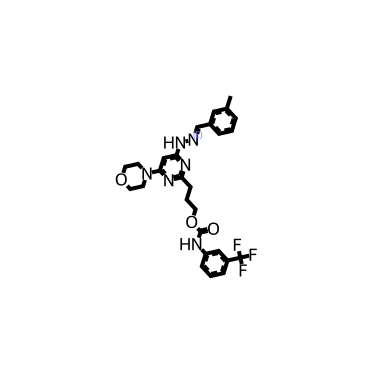 Cc1cccc(/C=N/Nc2cc(N3CCOCC3)nc(CCCOC(=O)Nc3cccc(C(F)(F)F)c3)n2)c1